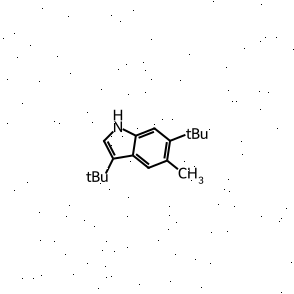 Cc1cc2c(C(C)(C)C)c[nH]c2cc1C(C)(C)C